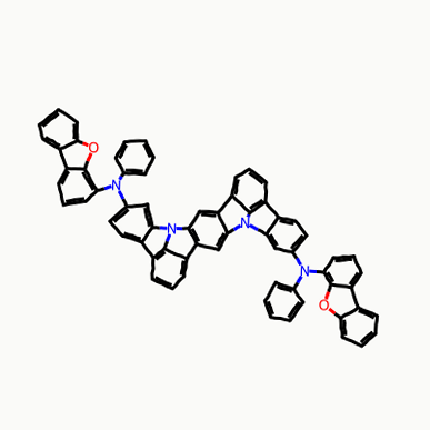 c1ccc(N(c2ccc3c4cccc5c6cc7c(cc6n(c3c2)c45)c2cccc3c4ccc(N(c5ccccc5)c5cccc6c5oc5ccccc56)cc4n7c32)c2cccc3c2oc2ccccc23)cc1